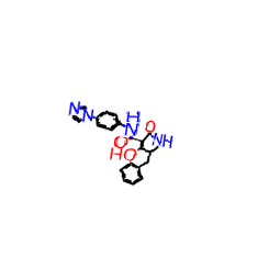 O=C1NCC(Cc2ccccc2)C(O)=C1C(=O)Nc1ccc(-n2ccnc2)cc1